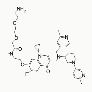 Cc1ccc(N2CCC[C@H](N(Cc3ccnc(C)c3)Cc3cn(C4CC4)c4cc(OCCN(C)C(=O)COCCOCCN)c(F)cc4c3=O)C2)cn1